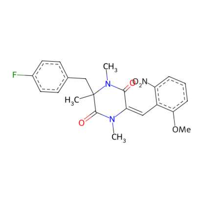 COc1cccc([N+](=O)[O-])c1C=C1C(=O)N(C)C(C)(Cc2ccc(F)cc2)C(=O)N1C